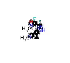 CC(C)N1CCOc2c(F)cc(-c3nc(Nc4ccc(C5CCN(C)CC5)c(C5CC5)c4)ncc3F)cc21